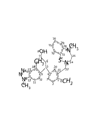 Cc1ccc(C(CCO)c2ccc3c(nnn3C)c2C)cc1CN1CCN(C)c2ccccc2S1